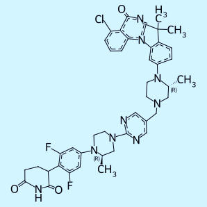 C[C@@H]1CN(Cc2cnc(N3CCN(c4cc(F)c(C5CCC(=O)NC5=O)c(F)c4)[C@H](C)C3)nc2)CCN1c1ccc2c(c1)-n1c(nc(=O)c3c(Cl)cccc31)C2(C)C